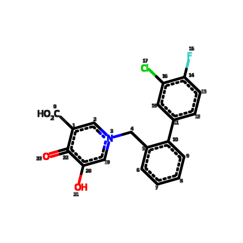 O=C(O)c1cn(Cc2ccccc2-c2ccc(F)c(Cl)c2)cc(O)c1=O